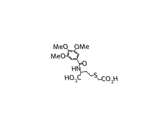 COc1cc(C(=O)NC(CCSCC(=O)O)C(=O)O)cc(OC)c1OC